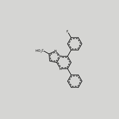 O=C(O)c1cc2nc(-c3ccccc3)cc(-c3cccc(F)c3)n2n1